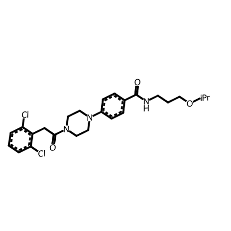 CC(C)OCCCNC(=O)c1ccc(N2CCN(C(=O)Cc3c(Cl)cccc3Cl)CC2)cc1